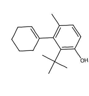 Cc1ccc(O)c(C(C)(C)C)c1C1=CCCCC1